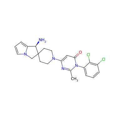 Cc1nc(N2CCC3(CC2)Cn2cccc2[C@H]3N)cc(=O)n1-c1cccc(Cl)c1Cl